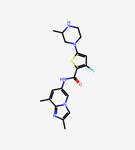 Cc1cn2cc(NC(=O)c3sc(N4CCNC(C)C4)cc3F)cc(C)c2n1